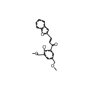 COCc1cc(COC)c(Cl)c(C(=O)/C=C/c2cc3ccccc3o2)c1